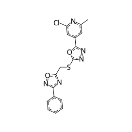 Cc1cc(-c2nnc(SCc3nc(-c4ccccc4)no3)o2)cc(Cl)n1